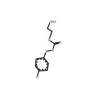 CCCCCCCCCCOC(=O)SSc1ccc(Cl)cc1